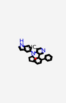 N#Cc1cncc(-c2ccccc2-c2ccccc2)c1N(c1ccc2[nH]ccc2c1)C1CCCC1